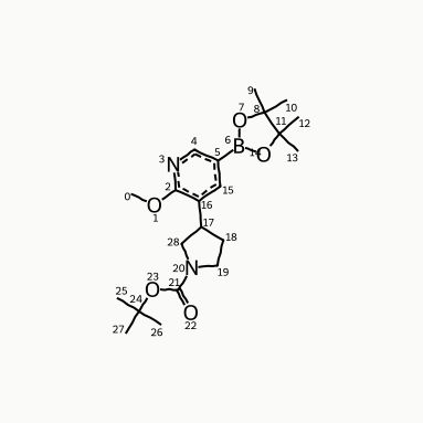 COc1ncc(B2OC(C)(C)C(C)(C)O2)cc1C1CCN(C(=O)OC(C)(C)C)C1